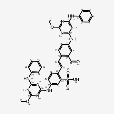 COc1nc(Nc2ccccc2)nc(Nc2ccc(/C=C/c3ccc(Nc4nc(Nc5ccccc5)nc(OC)n4)cc3S(=O)(=O)O)c(C=O)c2)n1